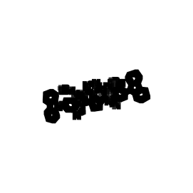 CC(C)(C)Nc1cc(C2c3ccccc3-c3ccccc32)cc2ncn(C3=c4ccc5c(-n6cnc7cc(-n8c9ccccc9c9ccccc98)cc(NC(C)(C)C)c76)nc6n(c4=5)C(N=CN=6)N3)c12